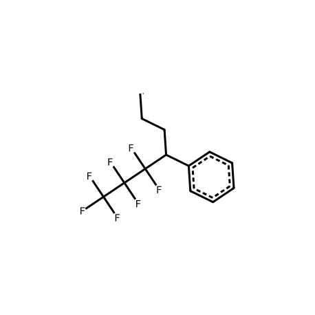 [CH2]CCC(c1ccccc1)C(F)(F)C(F)(F)C(F)(F)F